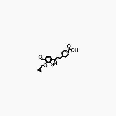 O=Cc1ccc2c(CCC3CCN(C(=O)O)CC3)noc2c1OCC1CC1